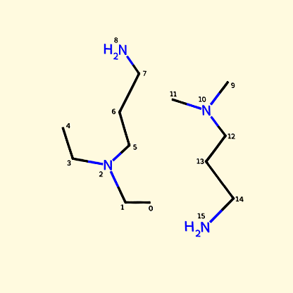 CCN(CC)CCCN.CN(C)CCCN